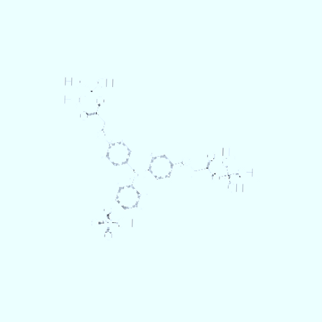 CC(C)(C)OC(=O)COc1ccc([S+](c2ccccc2)c2ccc(OCC(=O)OC(C)(C)C)cc2)cc1.CS(=O)(=O)[O-]